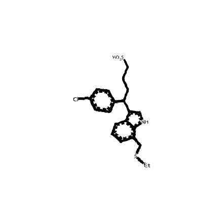 CCSCc1cccc2c(C(CCCS(=O)(=O)O)c3ccc(Cl)cc3)c[nH]c12